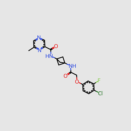 Cc1cncc(C(=O)NC23CC(NC(=O)COc4ccc(Cl)c(F)c4)(C2)C3)n1